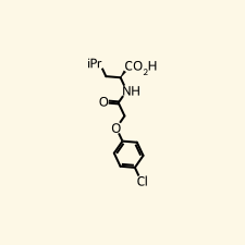 CC(C)C[C@H](NC(=O)COc1ccc(Cl)cc1)C(=O)O